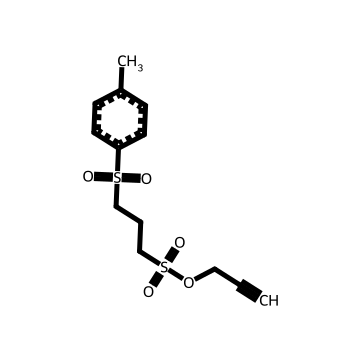 C#CCOS(=O)(=O)CCCS(=O)(=O)c1ccc(C)cc1